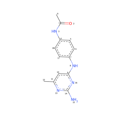 CC(=O)Nc1ccc(Nc2cc(C)nc(N)n2)cc1